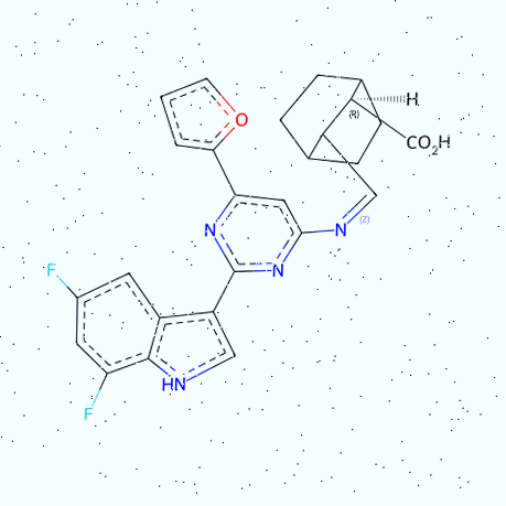 O=C(O)[C@@H]1C2CCC(CC2)C1/C=N\c1cc(-c2ccco2)nc(-c2c[nH]c3c(F)cc(F)cc23)n1